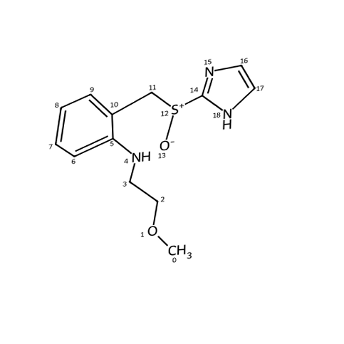 COCCNc1ccccc1C[S+]([O-])c1ncc[nH]1